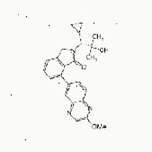 COc1cnc2cc(-c3cccc4c3C(=O)N([C@H](C3CC3)C(C)(C)O)C4)ccc2n1